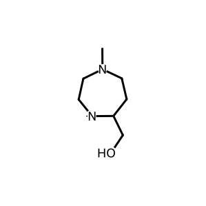 CN1CC[N]C(CO)CC1